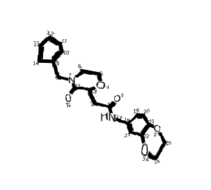 O=C(CC1OCCN(Cc2ccccc2)C1=O)Nc1ccc2c(c1)OCCO2